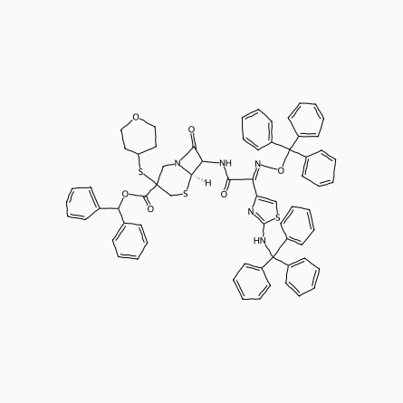 O=C(NC1C(=O)N2CC(SC3CCOCC3)(C(=O)OC(c3ccccc3)c3ccccc3)CS[C@H]12)C(=NOC(c1ccccc1)(c1ccccc1)c1ccccc1)c1csc(NC(c2ccccc2)(c2ccccc2)c2ccccc2)n1